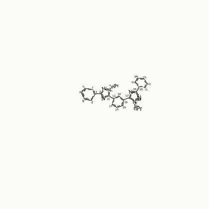 CCCn1nc(-c2ccccc2)nc1-c1cccc(-c2nc(-c3ccccc3)nn2CCC)c1